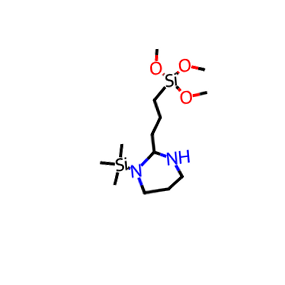 CO[Si](CCCC1NCCCN1[Si](C)(C)C)(OC)OC